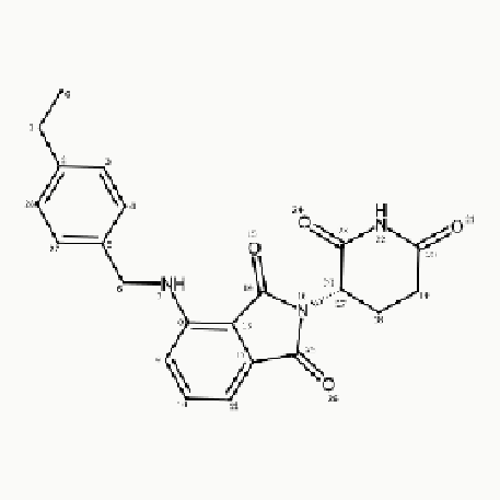 CCc1ccc(CNc2cccc3c2C(=O)N([C@H]2CCC(=O)NC2=O)C3=O)cc1